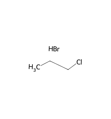 Br.CCCCl